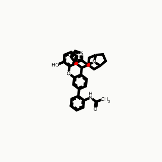 CC(=O)Nc1ccccc1-c1ccc2c(c1)Oc1c(O)cccc1C2C1CC2CCC(C1)N2Cc1cccs1